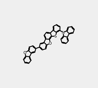 c1ccc2c(c1)oc1ccc(-c3ccc4oc5c(ccc6c7cccc(-n8c9ccccc9c9ccccc98)c7sc65)c4c3)cc12